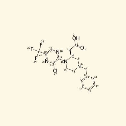 O=C(O)C[C@H]1CN(Cc2ccccc2)CCN1c1ncc(C(F)(F)F)nc1Cl